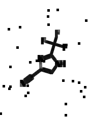 N#Cc1c[nH]c(C(F)(F)F)n1